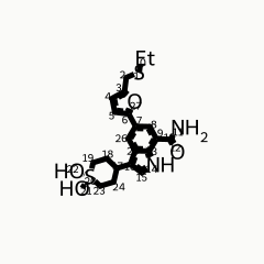 CCSCc1ccc(-c2cc(C(N)=O)c3[nH]cc(C4CCS(O)(O)CC4)c3c2)o1